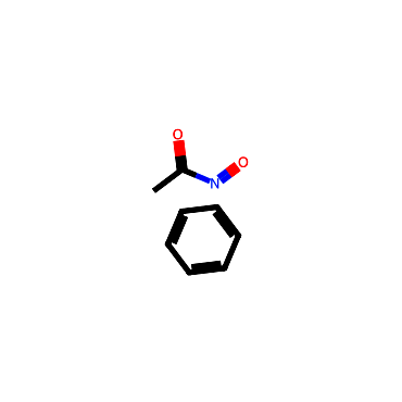 CC(=O)N=O.c1ccccc1